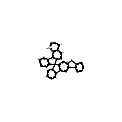 c1ccc2c(c1)Cc1cc3c(cc1-2)-c1ccccc1C31c2ccccc2-c2c1ccc1cccnc21